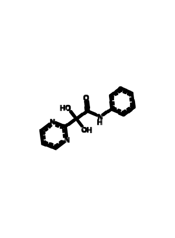 O=C(Nc1ccccc1)C(O)(O)c1ncccn1